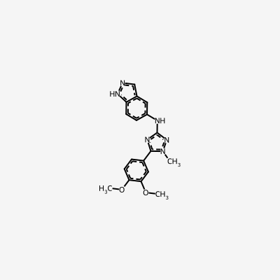 COc1ccc(-c2nc(Nc3ccc4[nH]ncc4c3)nn2C)cc1OC